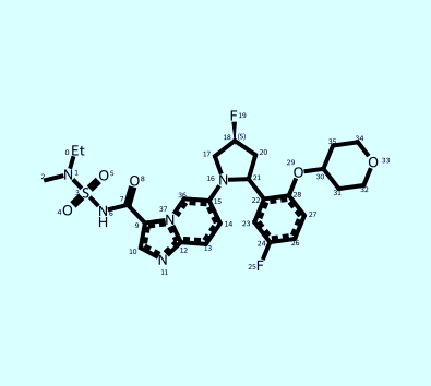 CCN(C)S(=O)(=O)NC(=O)c1cnc2ccc(N3C[C@@H](F)CC3c3cc(F)ccc3OC3CCOCC3)cn12